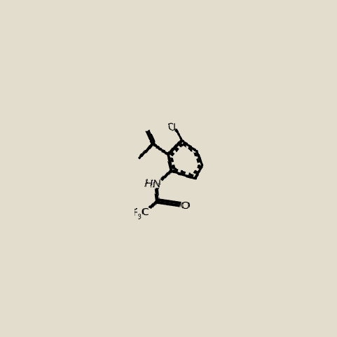 C=C(C)c1c(Cl)cccc1NC(=O)C(F)(F)F